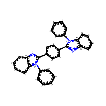 c1ccc(-n2c(-c3ccc(-c4nc5ccccc5n4-c4ccccc4)cc3)nc3ccccc32)cc1